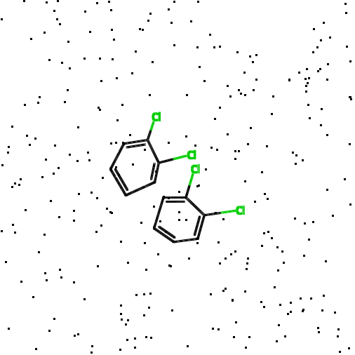 Clc1ccccc1Cl.Clc1ccccc1Cl